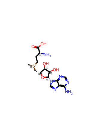 C[S@@+](CC[C@H](N)C(=O)O)C[C@H]1O[C@@H](n2cnc3c(N)ncnc32)[C@H](O)[C@@H]1O